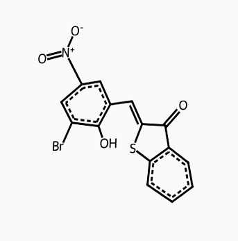 O=C1/C(=C/c2cc([N+](=O)[O-])cc(Br)c2O)Sc2ccccc21